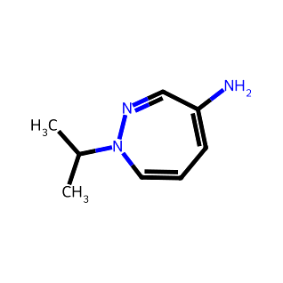 CC(C)N1C=CC=C(N)C=N1